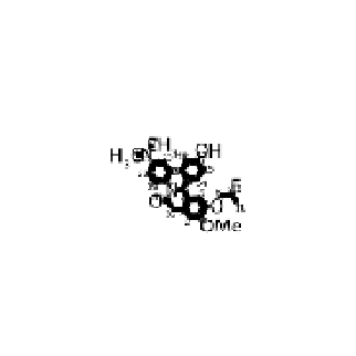 COc1cc2c(cc1OCC(F)I)C(c1ccc(O)cc1)N(c1ccc(N(C)C)cc1)C(=O)C2